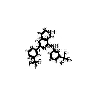 FC(F)(F)c1cccc(Nc2nc(-c3cccc(C(F)(F)F)c3)cc3c2CNC=C3)c1